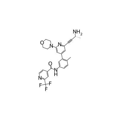 Cc1ccc(NC(=O)c2ccnc(C(F)(F)F)c2)cc1-c1cc(C#C[C@@H](C)N)nc(N2CCOCC2)c1